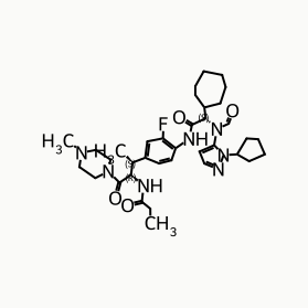 CCC(=O)N[C@@H](C(=O)N1CCN(C)CC1)[C@@H](C)c1ccc(NC(=O)[C@H](C2CCCCCC2)N(C=O)c2ccnn2C2CCCC2)c(F)c1